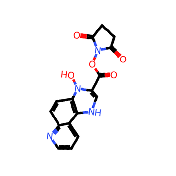 O=C(ON1C(=O)CCC1=O)C1=CNc2c(ccc3ncccc23)N1O